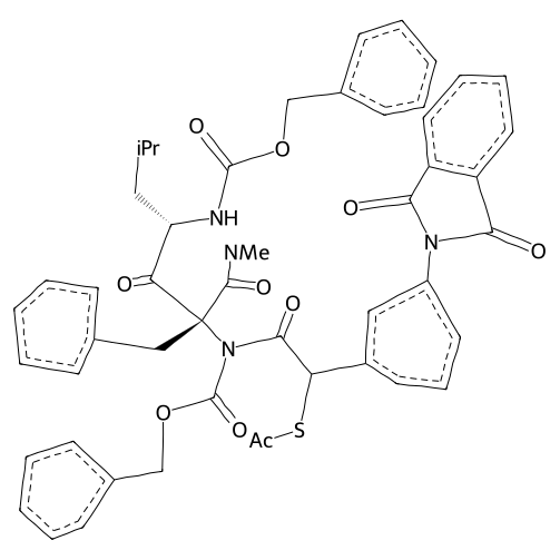 CNC(=O)[C@@](Cc1ccccc1)(C(=O)[C@H](CC(C)C)NC(=O)OCc1ccccc1)N(C(=O)OCc1ccccc1)C(=O)C(SC(C)=O)c1cccc(N2C(=O)c3ccccc3C2=O)c1